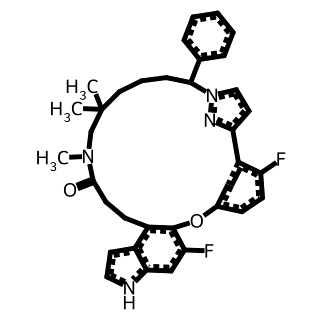 CN1CC(C)(C)CCCC(c2ccccc2)n2ccc(n2)-c2cc(ccc2F)Oc2c(F)cc3[nH]ccc3c2CCC1=O